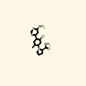 Cc1cc(-c2cc(N)ncn2)c(Cl)cc1-n1cccc1C(N)=O